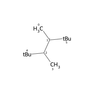 C[C](C(C)C(C)(C)C)C(C)(C)C